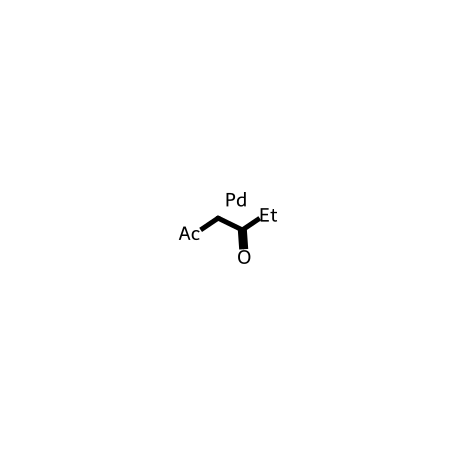 CCC(=O)CC(C)=O.[Pd]